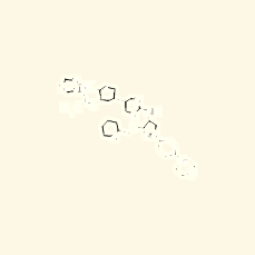 CC(Cn1cncn1)Oc1cc(-c2cnc(Nc3cn(C4CCC(N5CCOCC5)CC4)nc3OCc3ccccn3)nc2)ccc1C#N